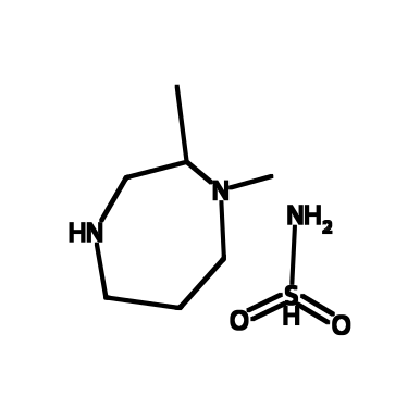 CC1CNCCCN1C.N[SH](=O)=O